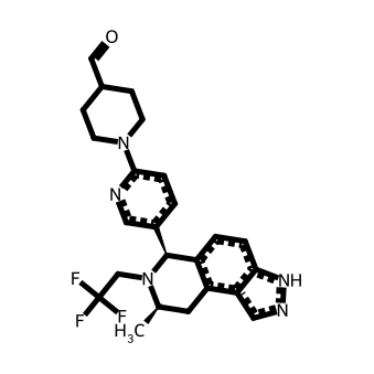 C[C@@H]1Cc2c(ccc3[nH]ncc23)[C@H](c2ccc(N3CCC(C=O)CC3)nc2)N1CC(F)(F)F